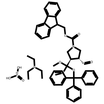 CCN(CC)CC.COC(OC)(OC(c1ccccc1)(c1ccccc1)c1ccccc1)[C@H]1CN(C(=O)OCC2c3ccccc3-c3ccccc32)C[C@@H]1C=O.O=[PH](O)O